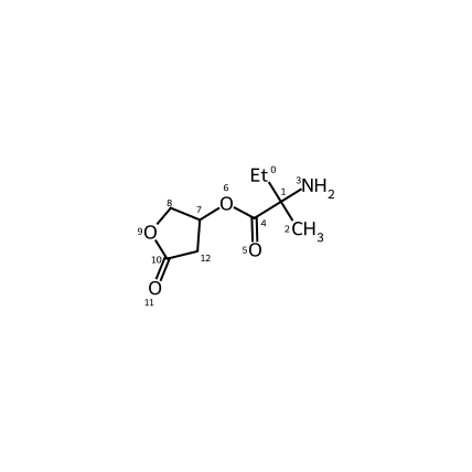 CCC(C)(N)C(=O)OC1COC(=O)C1